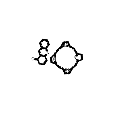 C1=Cc2cc3ccc(cc4nc(cc5ccc(cc1n2)[nH]5)C=C4)[nH]3.O=C1CC=Cc2nc3ccccc3cc21